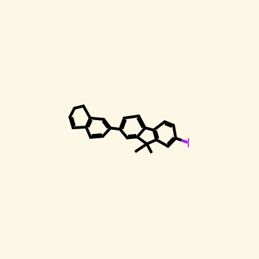 CC1(C)c2cc(I)ccc2-c2ccc(-c3ccc4c(c3)CCC=C4)cc21